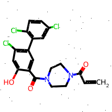 C=CC(=O)N1CCN(C(=O)c2cc(-c3cc(Cl)ccc3Cl)c(Cl)cc2O)CC1